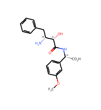 N[C@H](Cc1ccccc1)[C@H](O)C(=O)N[C@H](C(=O)O)c1cccc(OC(F)(F)F)c1